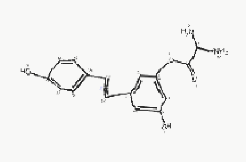 NC(N)C(=O)Oc1cc(O)cc(/C=C/c2ccc(O)cc2)c1